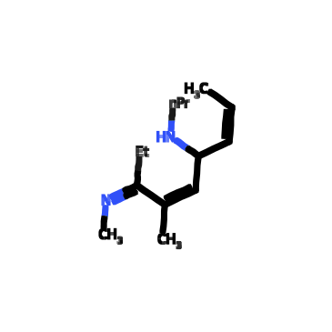 C/C=C\C(/C=C(C)\C(CC)=N/C)NCCC